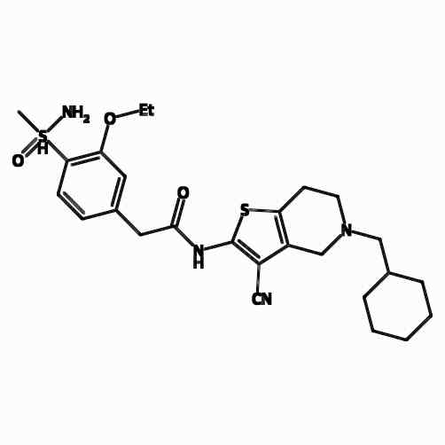 CCOc1cc(CC(=O)Nc2sc3c(c2C#N)CN(CC2CCCCC2)CC3)ccc1[SH](C)(N)=O